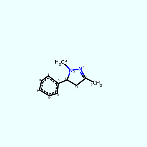 CC1=NN(C)C(c2ccccc2)C1